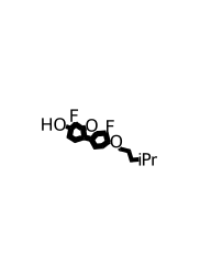 CC(C)CCCOc1ccc2c(oc3c(F)c(O)ccc32)c1F